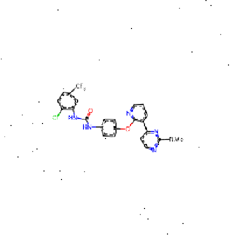 CNc1nccc(-c2cccnc2Oc2ccc(NC(=O)Nc3cc(C(F)(F)F)ccc3Cl)cc2)n1